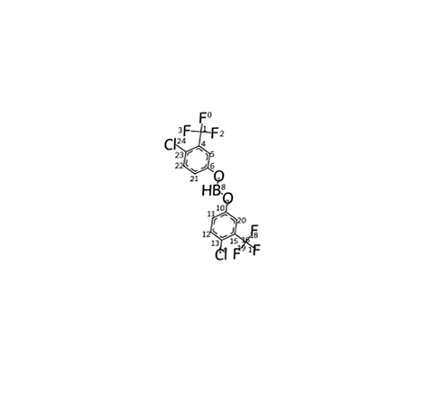 FC(F)(F)c1cc(OBOc2ccc(Cl)c(C(F)(F)F)c2)ccc1Cl